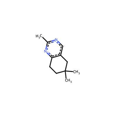 Cc1n[c]c2c(n1)CCC(C)(C)C2